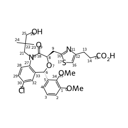 COc1cccc([C@H]2O[C@H](Cc3nc(CCC(=O)O)cs3)C(=O)N(CC(C)(C)CO)c3ccc(Cl)cc32)c1OC